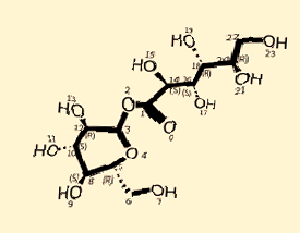 O=C(OC1O[C@H](CO)[C@@H](O)[C@H](O)[C@H]1O)[C@@H](O)[C@@H](O)[C@H](O)[C@H](O)CO